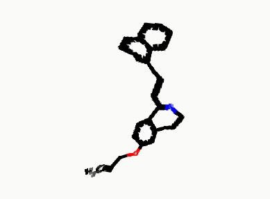 CCCOc1ccc2c(c1)CCN=C2C=Cc1cccc2ccccc12